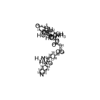 C[C@@H]1C[C@H]2[C@@H]3CCC4=CC(=O)C=C[C@]4(C)[C@@]3(F)[C@@H](O)C[C@]2(C)[C@@]1(O)C(=N)COC(=O)C1CC1C(=O)OCc1ccc([C@@H](CN)C(=O)Nc2ccc3cnccc3c2)cc1